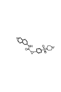 CN1CCN(S(=O)(=O)c2ccc(C3C[C@H]3C(=O)Nc3ccc4cnccc4c3)cc2)CC1